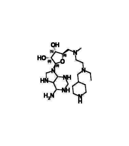 CCN(CCN(C)C[C@H]1O[C@@H](N2CNC3C(N)NCNC32)[C@H](O)[C@@H]1O)CC1CCNCC1